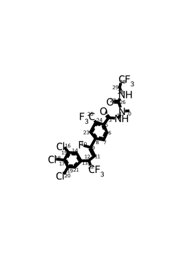 CN(NC(=O)c1ccc(/C(F)=C/C(c2cc(Cl)c(Cl)c(Cl)c2)C(F)(F)F)cc1C(F)(F)F)C(=O)NCC(F)(F)F